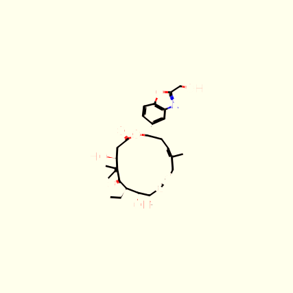 CC[C@H]1C(=O)C(C)(C)[C@@H](O)CC(=O)O[C@H](c2ccc3oc(CO)nc3c2)C/C=C(/C)CCC[C@H](C)[C@@H]1O